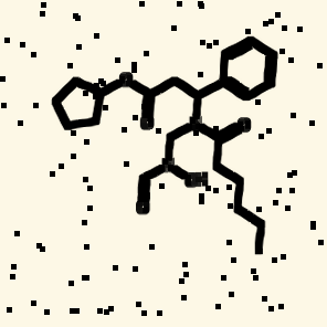 CCCCCC(=O)N(CN(O)C=O)C(CC(=O)OC1CCCC1)c1ccccc1